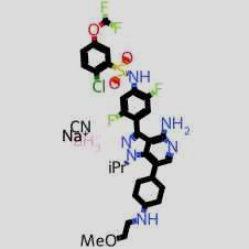 COCCNC1CCC(c2cnc(N)c3c(-c4cc(F)c(NS(=O)(=O)c5cc(OC(F)F)ccc5Cl)cc4F)nn(C(C)C)c23)CC1.[BH3-]C#N.[Na+]